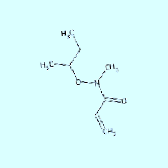 C=CC(=O)N(C)OC(C)CC